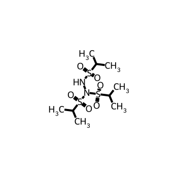 CC(C)S(=O)(=O)NN(S(=O)(=O)C(C)C)S(=O)(=O)C(C)C